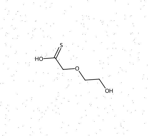 OCCOCC(O)=S